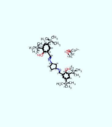 CC(=O)[O-].CC(=O)[O-].C[Si](C)(C)c1cc(C=NC2CCC(N=Cc3cc([Si](C)(C)C)cc([Si](C)(C)C)c3O)C2)c(O)c([Si](C)(C)C)c1.[Co+2]